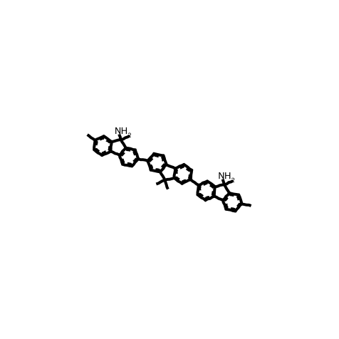 Cc1ccc2c(c1)C(C)(N)c1cc(-c3ccc4c(c3)C(C)(C)c3cc(-c5ccc6c(c5)C(C)(N)c5cc(C)ccc5-6)ccc3-4)ccc1-2